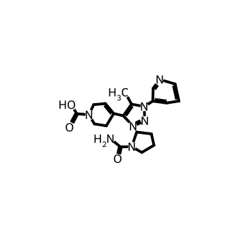 Cc1c(C2=CCN(C(=O)O)CC2)nnn1-c1cccnc1.NC(=O)N1CCCC1